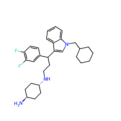 N[C@H]1CC[C@H](NCCC(c2ccc(F)c(F)c2)c2cn(CC3CCCCC3)c3ccccc23)CC1